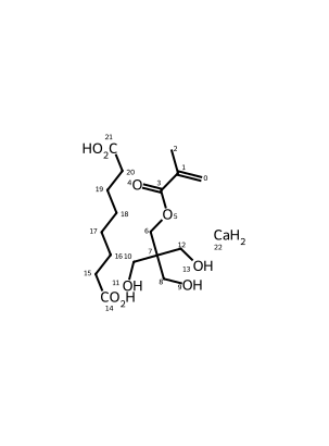 C=C(C)C(=O)OCC(CO)(CO)CO.O=C(O)CCCCCCC(=O)O.[CaH2]